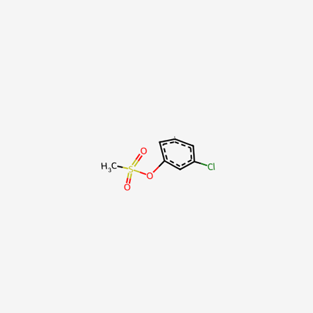 CS(=O)(=O)Oc1c[c]cc(Cl)c1